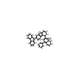 C1=CC2=C(c3ccccc3)C=C(C3CC=Cc4oc5cc(-n6c7ccccc7c7ccccc76)ccc5c43)NC2CC1